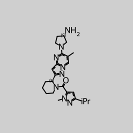 Cc1cn2nc([C@@H]3CCCCN3C(=O)c3cc(C(C)C)nn3C)cc2nc1N1CC[C@H](N)C1